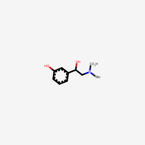 CC(C)(C)N(CC(O)c1cccc(O)c1)C(=O)O